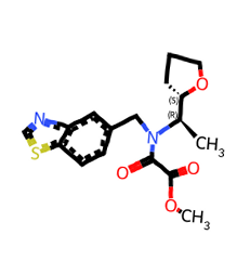 COC(=O)C(=O)N(Cc1ccc2scnc2c1)[C@H](C)[C@@H]1CCCO1